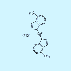 Cc1cccc2c1C=C[CH]2[Hf+2][CH]1C=Cc2c(C)cccc21.[Cl-].[Cl-]